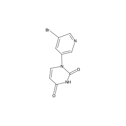 O=c1ccn(-c2cncc(Br)c2)c(=O)[nH]1